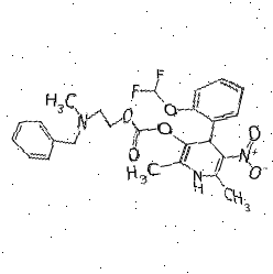 CC1=C(OC(=O)OCCN(C)Cc2ccccc2)C(c2ccccc2OC(F)F)C([N+](=O)[O-])=C(C)N1